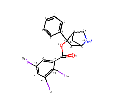 O=C(OC1(c2ccccc2)CC2CC1CN2)c1cc(I)cc(I)c1I